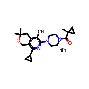 CC(C)[C@@H]1CN(c2nc(C3CC3)c3c(c2C#N)CC(C)(C)OC3)CCN1C(=O)C1(C)CC1